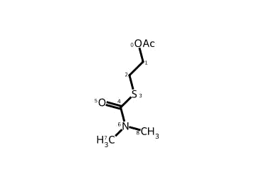 CC(=O)OCCSC(=O)N(C)C